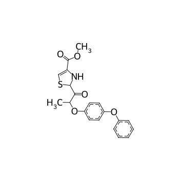 COC(=O)C1=CSC(C(=O)C(C)Oc2ccc(Oc3ccccc3)cc2)N1